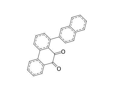 O=C1C(=O)c2c(-c3ccc4ccccc4c3)cccc2-c2ccccc21